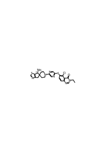 CCn1cnc2ccc(Sc3cnc(N4CCC5(CC4)Cc4ncsc4[C@H]5N)cn3)c(Cl)c2c1=O